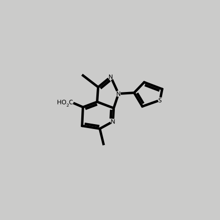 Cc1cc(C(=O)O)c2c(C)nn(-c3ccsc3)c2n1